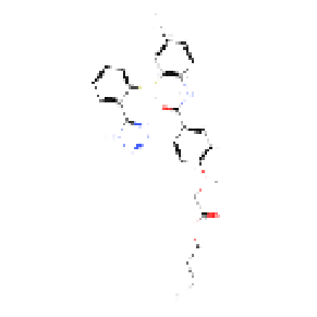 CCCCOC(=O)COc1ccc(C(=O)Nc2ccc(C)cc2Sc2ccccc2-c2nnn[nH]2)cc1